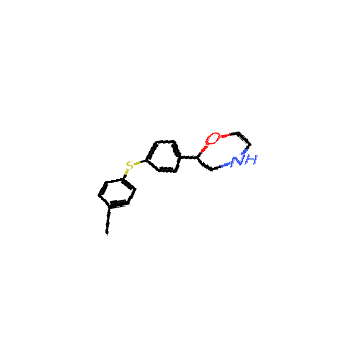 Cc1ccc(Sc2ccc(C3CNCCO3)cc2)cc1